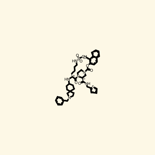 CS(=O)(=O)NCCCC[C@@H](NC1CCC2(CC1)CCN(Cc1ccccc1)C2)C(=O)N1CCN(C(=O)Oc2ccc3ccccc3c2Cl)C[C@H]1C(=O)NCc1cccs1